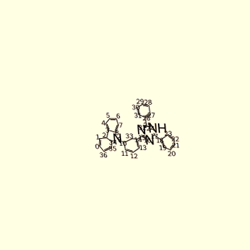 C1=CC2c3ccccc3N(C3C=CC=C(C4=NC(c5ccccc5)NC(c5ccccc5)=N4)C3)C2C=C1